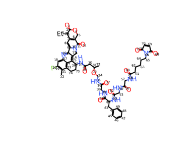 CC[C@H]1C(=O)OCc2c1cc1n(c2=O)Cc2c-1nc1cc(F)c(C)c3c1c2[C@@H](NC(=O)CC(C)OCNC(=O)CNC(=O)[C@H](Cc1ccccc1)NC(=O)CNC(=O)CNC(=O)CCCCCN1C(=O)C=CC1=O)CC3